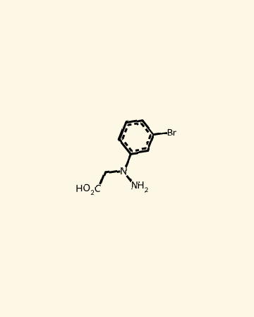 NN(CC(=O)O)c1cccc(Br)c1